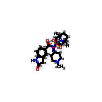 CN1CCC(CS(=O)(=O)N2[C@@H]3CC[C@H]2CC(NC(=O)c2ccc4c(c2)CC(=O)N4)C3)CC1